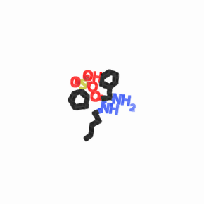 CCCCCNC(=O)C(N)c1ccccc1.O=S(=O)(O)c1ccccc1